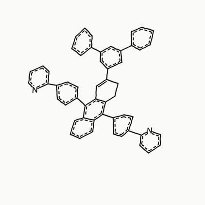 C1=C(c2cc(-c3ccccc3)cc(-c3ccccc3)c2)CCc2c1c(-c1ccc(-c3ccccn3)cc1)c1ccccc1c2-c1ccc(-c2ccccn2)cc1